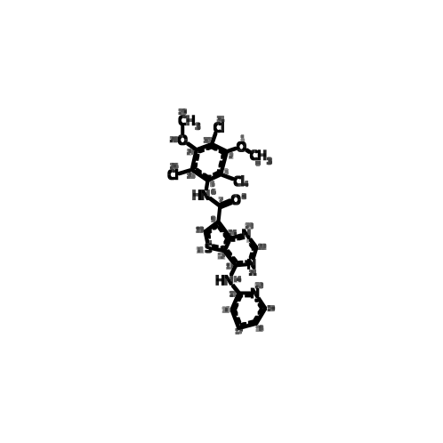 COc1c(Cl)c(NC(=O)c2csc3c(Nc4ccccn4)ncnc23)c(Cl)c(OC)c1Cl